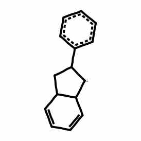 [C]1C(c2ccccc2)CC2C=CC=CC12